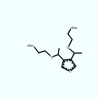 CCCCCCCCCCCCOC(C)c1cscc1C(C)OCCCCCCCCCCCC